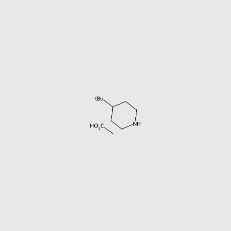 CC(=O)O.CC(C)(C)C1CCNCC1